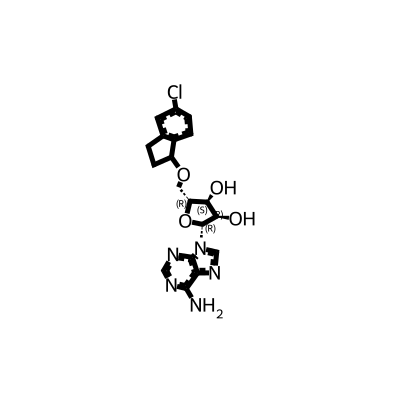 Nc1ncnc2c1ncn2[C@@H]1O[C@H](COC2CCc3cc(Cl)ccc32)[C@@H](O)[C@H]1O